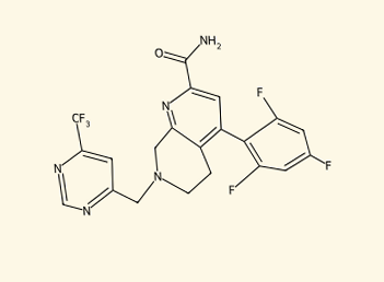 NC(=O)c1cc(-c2c(F)cc(F)cc2F)c2c(n1)CN(Cc1cc(C(F)(F)F)ncn1)CC2